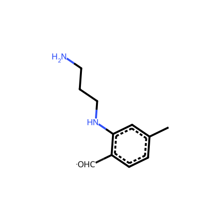 Cc1ccc([C]=O)c(NCCCN)c1